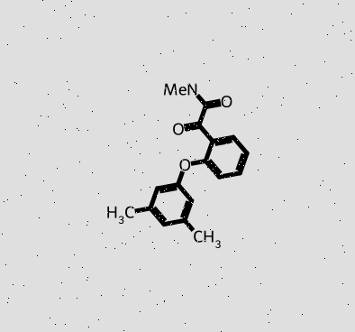 CNC(=O)C(=O)c1ccccc1Oc1cc(C)cc(C)c1